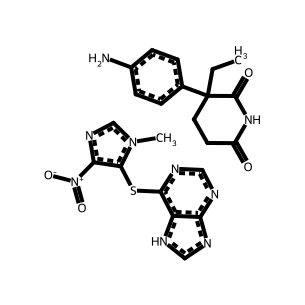 CCC1(c2ccc(N)cc2)CCC(=O)NC1=O.Cn1cnc([N+](=O)[O-])c1Sc1ncnc2nc[nH]c12